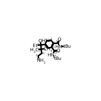 CCC(O)(c1ccc(C(=O)NC(C)(C)C)c(C(=O)NC(C)(C)C)c1)C(C)(C)CCN